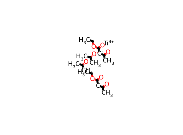 CC(C)[O-].CC(C)[O-].CCOC(=O)[CH-]C(C)=O.CCOC(=O)[CH-]C(C)=O.[Ti+4]